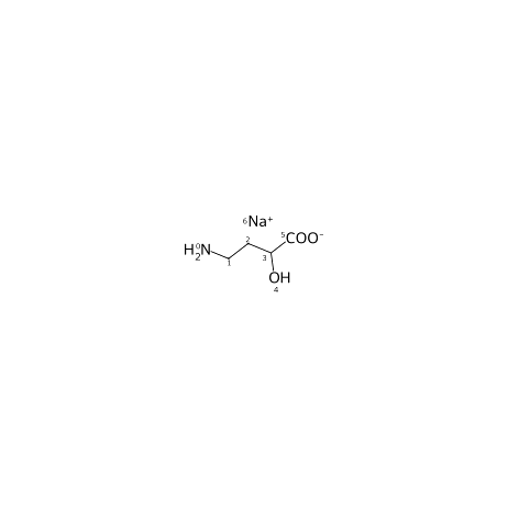 NCCC(O)C(=O)[O-].[Na+]